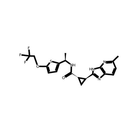 Cc1ccc2nc([C@H]3C[C@@H]3C(=O)N[C@H](C)c3ccc(OCC(F)(F)F)s3)[nH]c2n1